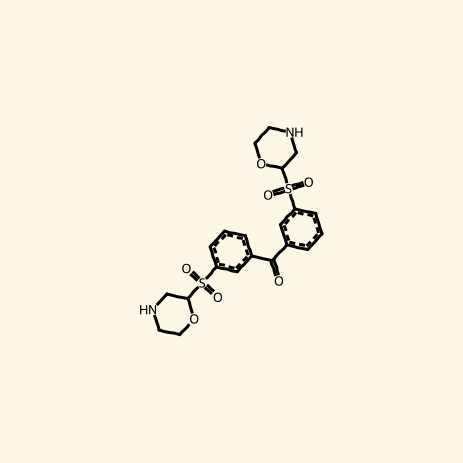 O=C(c1cccc(S(=O)(=O)C2CNCCO2)c1)c1cccc(S(=O)(=O)C2CNCCO2)c1